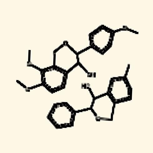 COc1ccc(C2OCc3c(ccc(OC)c3OC)C2O)cc1.Cc1ccc2c(c1)C(O)C(c1ccccc1)OC2